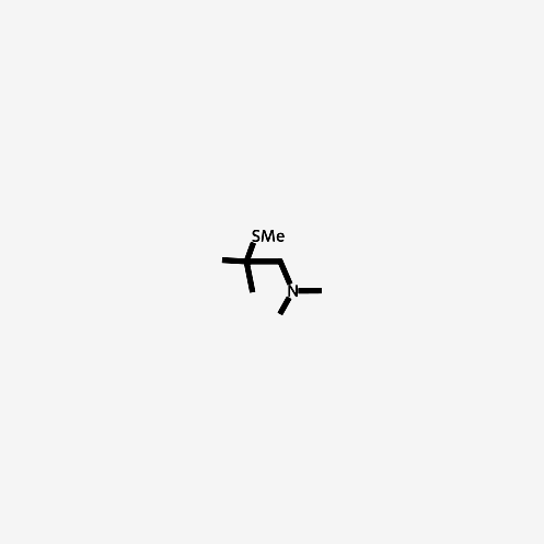 CSC(C)(C)CN(C)C